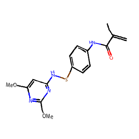 C=C(C)C(=O)Nc1ccc(SNc2cc(OC)nc(OC)n2)cc1